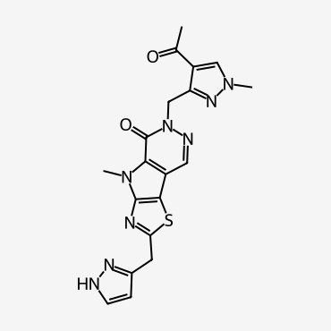 CC(=O)c1cn(C)nc1Cn1ncc2c3sc(Cc4cc[nH]n4)nc3n(C)c2c1=O